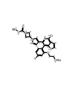 COCCOc1cc(F)ccc1-c1c(-c2cnn(C3CN(C(=O)OC(C)(C)C)C3)c2)nc(Cl)c2ccsc12